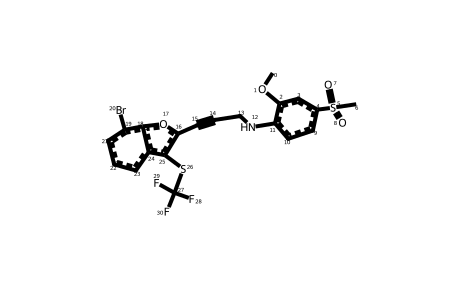 COc1cc(S(C)(=O)=O)ccc1NCC#Cc1oc2c(Br)cccc2c1SC(F)(F)F